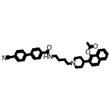 CC(=O)Oc1c(C2CCN(CCCCNC(=O)c3ccc(-c4ccc(C#N)cc4)cc3)CC2)ccc2ccccc12